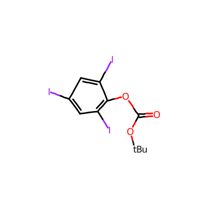 CC(C)(C)OC(=O)Oc1c(I)cc(I)cc1I